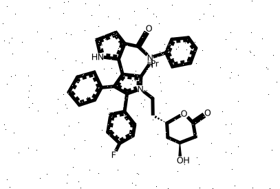 CC(C)c1c(-c2[nH]ccc2C(=O)Nc2ccccc2)c(-c2ccccc2)c(-c2ccc(F)cc2)n1CC[C@H]1C[C@H](O)CC(=O)O1